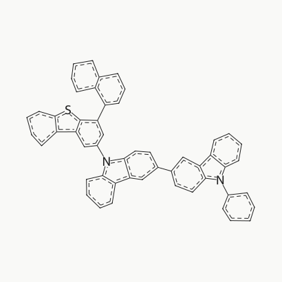 c1ccc(-n2c3ccccc3c3cc(-c4ccc5c(c4)c4ccccc4n5-c4cc(-c5cccc6ccccc56)c5sc6ccccc6c5c4)ccc32)cc1